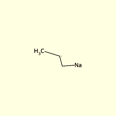 C[CH][CH2][Na]